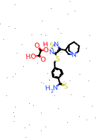 NC(=S)c1ccc(CSc2nsnc2C2CN3CCCC2C3)cc1.O=C(O)C(=O)O